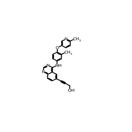 Cc1ccc(Oc2ccc(Nc3ncnc4ccc(C#CCO)cc34)cc2C)cn1